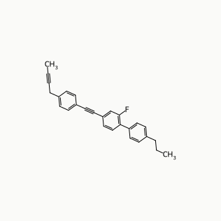 CC#CCc1ccc(C#Cc2ccc(-c3ccc(CCC)cc3)c(F)c2)cc1